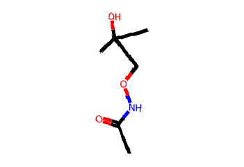 CC(=O)NOCC(C)(C)O